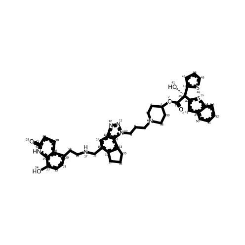 O=C(OC1CCN(CCCn2nnc3cc(CNCCc4ccc(O)c5[nH]c(=O)ccc45)c4c(c32)CCC4)CC1)[C@@](O)(c1cccs1)c1cc2ccccc2s1